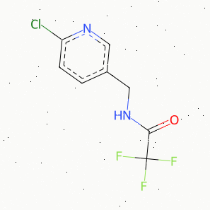 O=C(NCc1ccc(Cl)nc1)C(F)(F)F